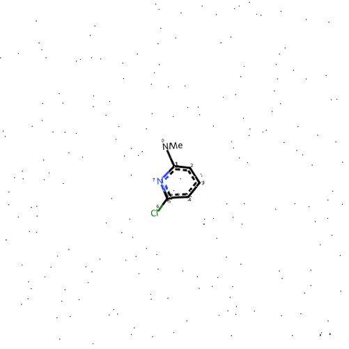 CNc1cc[c]c(Cl)n1